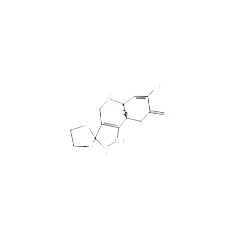 CC1=CC23NCC4=C(NNC45OCCO5)C2(C=CS3)CC1=O